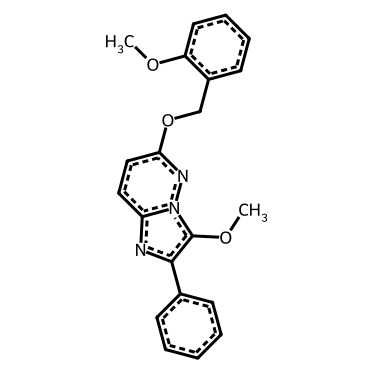 COc1ccccc1COc1ccc2nc(-c3ccccc3)c(OC)n2n1